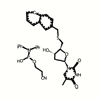 CC(C)N(C(C)C)P(O)OCCC#N.Cc1cn([C@H]2C[C@H](O)[C@@H](CSCc3ccc4ccccc4c3)O2)c(=O)[nH]c1=O